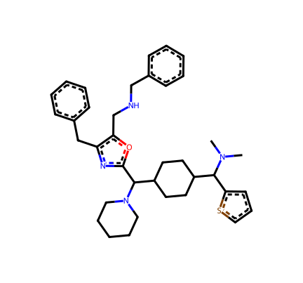 CN(C)C(c1cccs1)C1CCC(C(c2nc(Cc3ccccc3)c(CNCc3ccccc3)o2)N2CCCCC2)CC1